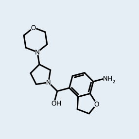 Nc1ccc(C(O)N2CCC(N3CCOCC3)C2)c2c1OCC2